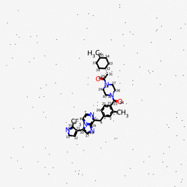 Cc1cc(Cc2nccn3c(C4=CCN=C4C(F)(F)F)cnc23)ccc1C(=O)N1CCN(C(=O)C[C@H]2CC[C@H](C)CC2)CC1